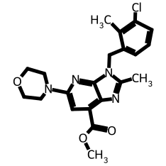 COC(=O)c1cc(N2CCOCC2)nc2c1nc(C)n2Cc1cccc(Cl)c1C